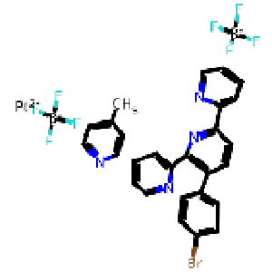 Brc1ccc(-c2ccc(-c3ccccn3)nc2-c2ccccn2)cc1.Cc1ccncc1.F[B-](F)(F)F.F[B-](F)(F)F.[Pt+2]